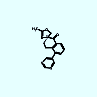 CC1=N[C@@]2(CCc3c(cccc3-c3cncnc3)C2=O)CO1